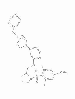 COc1cc(C)c(S(=O)(=O)N2CCC[C@H]2COc2nccc(N3CC4CC3CN4Cc3ccncc3)n2)c(C)c1